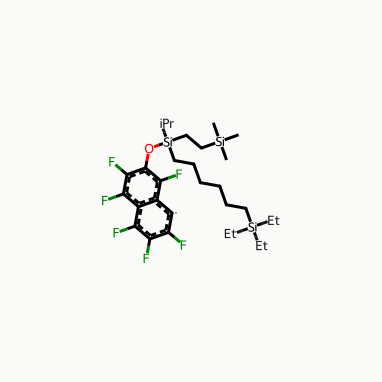 CC[Si](CC)(CC)CCCCCC[Si](CC[Si](C)(C)C)(Oc1c(F)c(F)c2c(F)c(F)c(F)[c]c2c1F)C(C)C